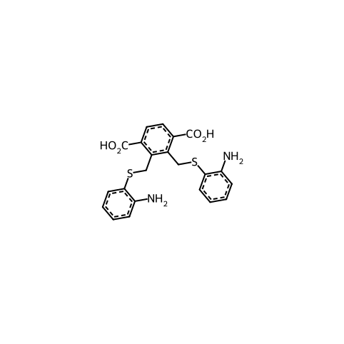 Nc1ccccc1SCc1c(C(=O)O)ccc(C(=O)O)c1CSc1ccccc1N